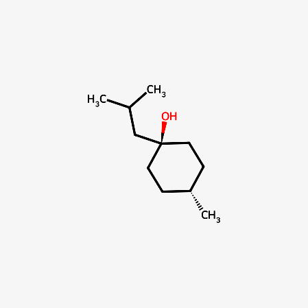 CC(C)C[C@]1(O)CC[C@H](C)CC1